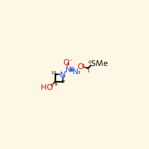 CSCO/N=[N+](\[O-])N1CC(O)C1